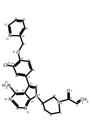 C=CC(=O)N1CCCC(n2cc(-c3ccc(OCc4ccccn4)c(Cl)c3)c3c(N)ncnc32)C1